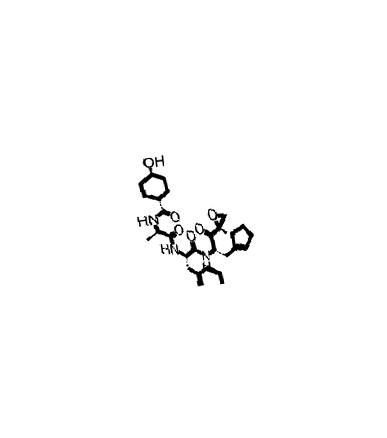 C=C(/C=C\C)C[C@H](NC(=O)[C@@H](C)NC(=O)[C@H]1CC[C@H](O)CC1)C(=O)N[C@@H](CC1=CCCC1)C(=O)[C@@]1(C)CO1